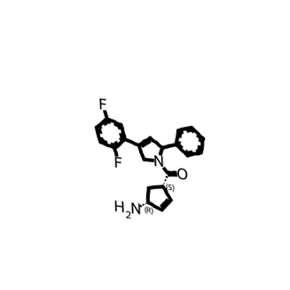 N[C@H]1C=C[C@@H](C(=O)N2CC(c3cc(F)ccc3F)=CC2c2ccccc2)C1